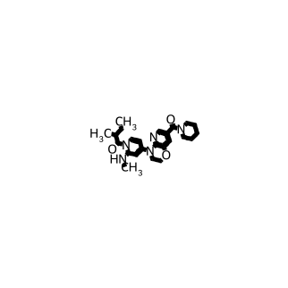 CCC(C)C(=O)N1C=CC(N2CCOc3cc(C(=O)N4CCCCC4)cnc32)=CC1NC